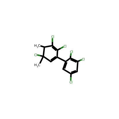 CC1C(Cl)=C(Cl)C(c2cc(Cl)cc(Cl)c2Cl)=CC1(C)Cl